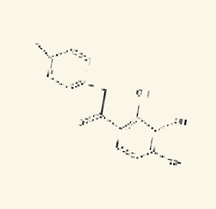 Cc1ccc(CC(=O)c2ccc(O)c(O)c2O)cc1